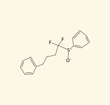 [O-][S+](c1ccccc1)C(F)(F)CCCc1ccccc1